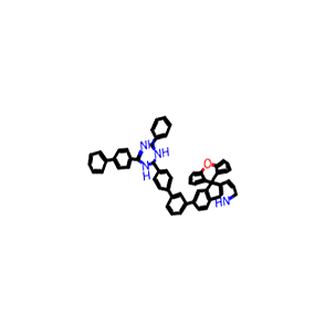 N=C(NC(NCc1ccccc1)c1ccc(-c2cccc(-c3ccc4c(c3)C3(C5=C4NCC=C5)c4ccccc4Oc4ccccc43)c2)cc1)c1ccc(-c2ccccc2)cc1